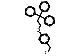 ClCc1ccc(OCCC(c2ccccc2)(c2ccccc2)c2ccccc2)cc1